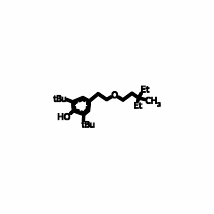 CCC(C)(CC)CCOCCc1cc(C(C)(C)C)c(O)c(C(C)(C)C)c1